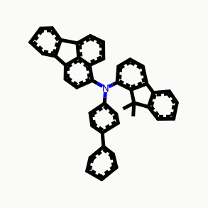 CC1(C)c2ccccc2-c2cccc(N(c3ccc(-c4ccccc4)cc3)c3ccc4c5c(cccc35)-c3ccccc3-4)c21